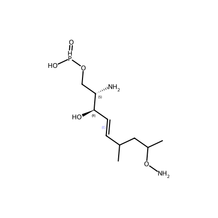 CC(/C=C/[C@@H](O)[C@@H](N)CO[PH](=O)O)CC(C)ON